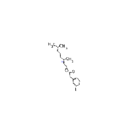 CC(C)=CCC/C(C)=C/COC(=O)Cc1cccc(I)c1